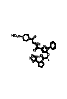 C[C@@H](Oc1cc(C(=O)NCC(=O)N2CCN(C(=O)O)CC2)nn1-c1ccccc1)C(=O)N1CCCC1c1nnn[nH]1